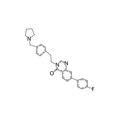 O=c1c2ccc(-c3ccc(F)cc3)cc2ncn1CCc1ccc(CN2CCCC2)cc1